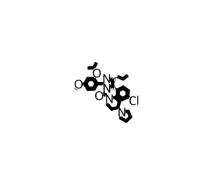 CCC[C@H]1N=C(c2ccc(OC)cc2OC(C)C)N(C(=O)N2CCC(N3CCCC3)CC2)[C@H]1c1ccc(Cl)cc1